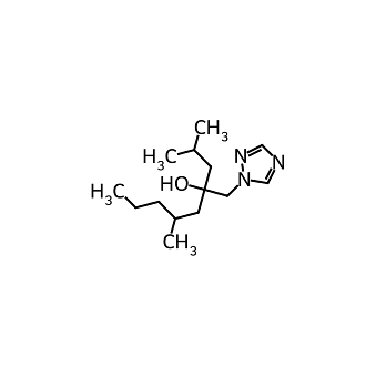 CCCC(C)CC(O)(CC(C)C)Cn1cncn1